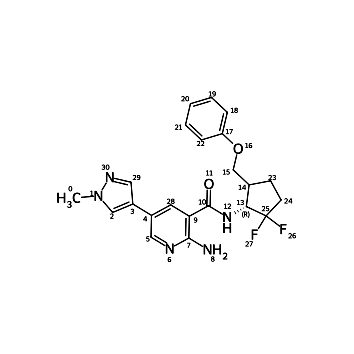 Cn1cc(-c2cnc(N)c(C(=O)N[C@@H]3C(COc4ccccc4)CCC3(F)F)c2)cn1